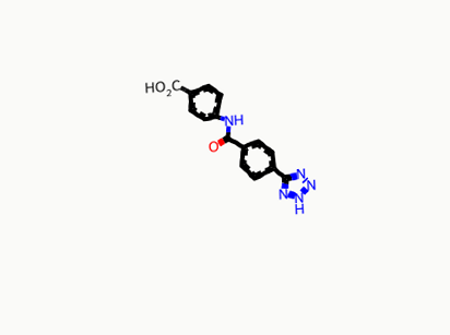 O=C(O)c1ccc(NC(=O)c2ccc(-c3nn[nH]n3)cc2)cc1